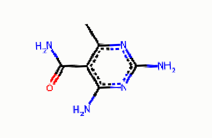 Cc1nc(N)nc(N)c1C(N)=O